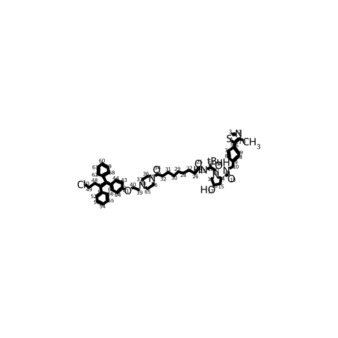 Cc1ncsc1-c1ccc(CNC(=O)[C@@H]2C[C@@H](O)CN2C(=O)C(NC(=O)CCCCCCCC(=O)N2CCN(CCOc3ccc(/C(=C(/CCCl)c4ccccc4)c4ccccc4)cc3)CC2)C(C)(C)C)cc1